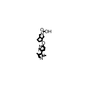 Cc1cnn(C)c1-c1ccc(OC2CCC3CN(C(=O)O)CC32)nn1